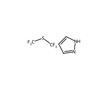 FC(F)(F)SC(F)(F)F.c1cn[nH]c1